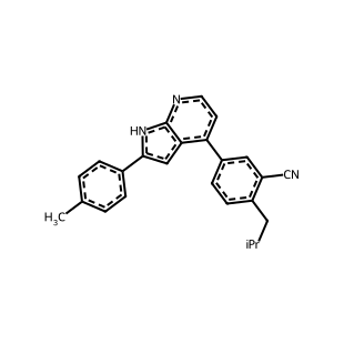 Cc1ccc(-c2cc3c(-c4ccc(CC(C)C)c(C#N)c4)ccnc3[nH]2)cc1